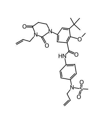 C=CCN1C(=O)CCN(c2cc(C(=O)Nc3ccc(N(CC=C)S(C)(=O)=O)cc3)c(OC)c(C(C)(C)C)c2)C1=O